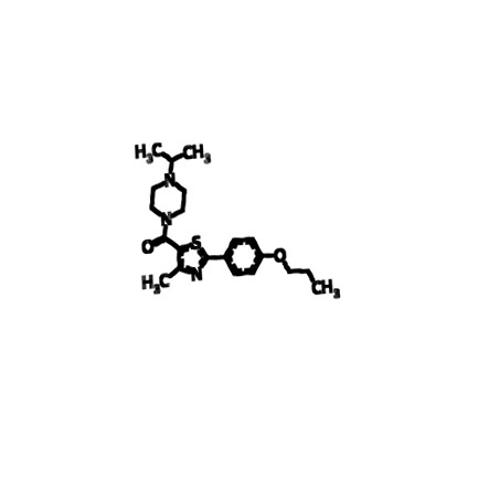 CCCOc1ccc(-c2nc(C)c(C(=O)N3CCN(C(C)C)CC3)s2)cc1